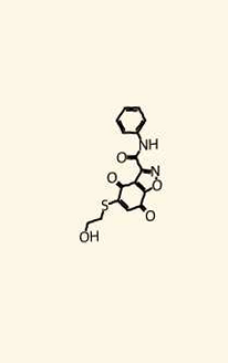 O=C(Nc1ccccc1)c1noc2c1C(=O)C(SCCO)=CC2=O